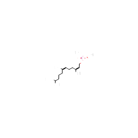 COP(=O)(OC)OCC=C(C)CCC=C(C)CCCC(C)C